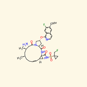 COc1cc2ccnc(O[C@@H]3C[C@H]4C(=O)N[C@]5(C(=O)NS(=O)(=O)C6(CF)CC6)C[C@H]5C=CCC[C@@H](C)C[C@@H](C)[C@H](N)C(=O)N4C3)c2cc1F